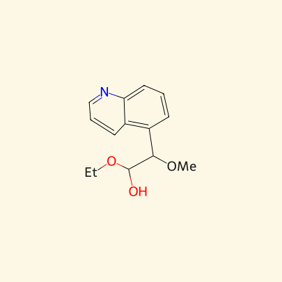 CCOC(O)C(OC)c1cccc2ncccc12